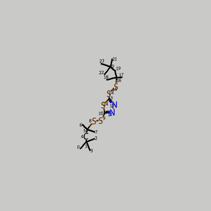 CC(C)(C)CC(C)(C)SSc1nnc(SSC(C)(C)CC(C)(C)C)s1